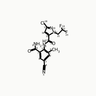 Cc1cc(C#N)cc(C(N)=O)c1NC(=O)c1cc(Cl)nn1CC(F)F